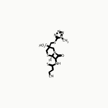 Cn1nnnc1SCC1(C(=O)O)CS[C@@H]2C(NC(=S)CCC#N)C(=O)N2C1